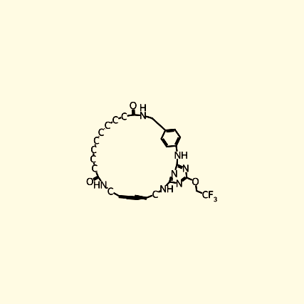 O=C1CCCCCCCCC(=O)NCc2ccc(cc2)Nc2nc(nc(OCC(F)(F)F)n2)NCc2ccc(cc2)CN1